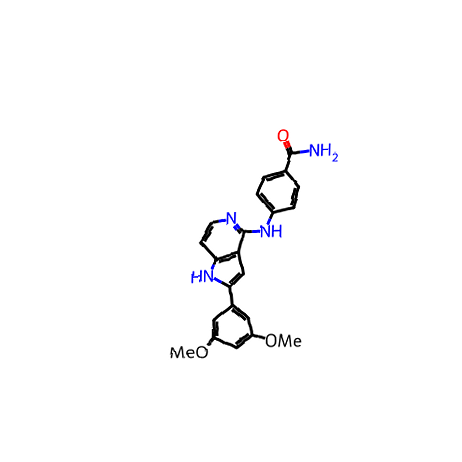 COc1cc(OC)cc(-c2cc3c(Nc4ccc(C(N)=O)cc4)nccc3[nH]2)c1